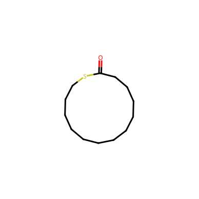 O=C1CCCCCCCCCCCCS1